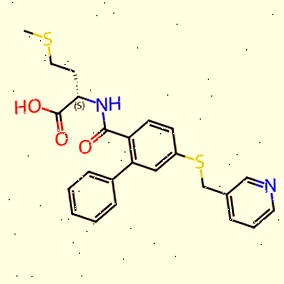 CSCC[C@H](NC(=O)c1ccc(SCc2cccnc2)cc1-c1ccccc1)C(=O)O